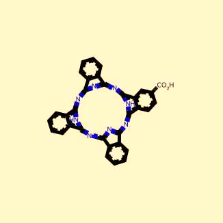 O=C(O)c1ccc2c3nc4nc(nc5[nH]c(nc6nc(nc([nH]3)c2c1)-c1ccccc1-6)c1ccccc51)-c1ccccc1-4